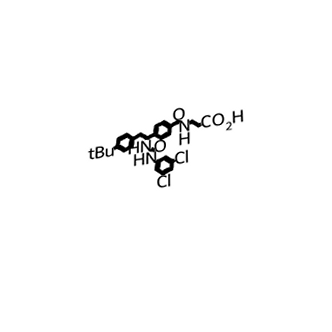 CC(C)(C)c1ccc(CC(NC(=O)Nc2cc(Cl)cc(Cl)c2)c2ccc(C(=O)NCCC(=O)O)cc2)cc1